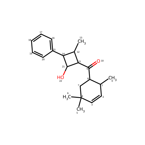 CC1C=CC(C)(C)CC1C(=O)C1C(C)C(c2ccccc2)C1O